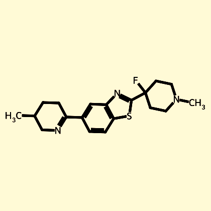 CC1CCC(c2ccc3sc(C4(F)CCN(C)CC4)nc3c2)=NC1